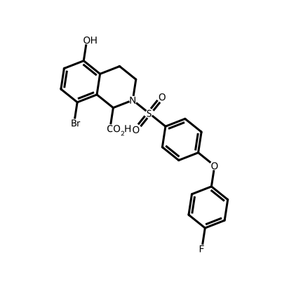 O=C(O)C1c2c(Br)ccc(O)c2CCN1S(=O)(=O)c1ccc(Oc2ccc(F)cc2)cc1